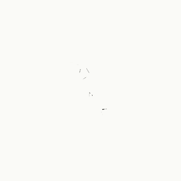 COC(=O)C1CCN(CCc2ccc(O)cc2)CC1